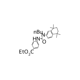 CCCCN(C(=O)Nc1ccc(C(=O)OCC)cc1)c1ccc2c(c1)C(C)(C)CCC2(C)C